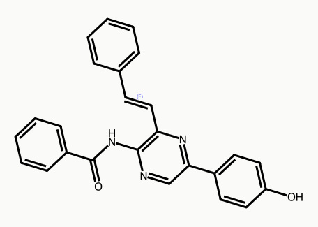 O=C(Nc1ncc(-c2ccc(O)cc2)nc1/C=C/c1ccccc1)c1ccccc1